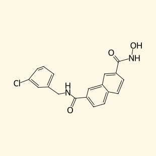 O=C(NO)c1ccc2ccc(C(=O)NCc3cccc(Cl)c3)cc2c1